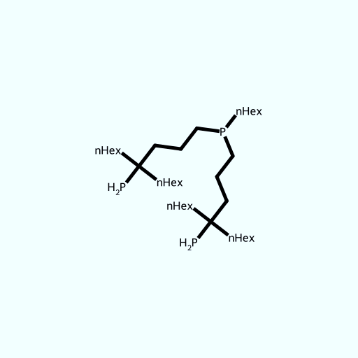 CCCCCCP(CCCC(P)(CCCCCC)CCCCCC)CCCC(P)(CCCCCC)CCCCCC